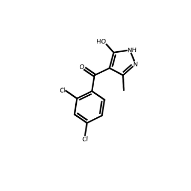 Cc1n[nH]c(O)c1C(=O)c1ccc(Cl)cc1Cl